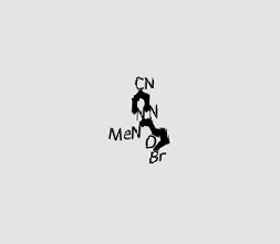 CNc1c(-c2ccc(Br)o2)nc2cc(C#N)ccn12